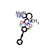 CNC1=C(C=N)[C@]2(CCCC1)CC(=O)N(c1c(F)cc(C#Cc3ccccc3)cc1F)C(=O)N2C